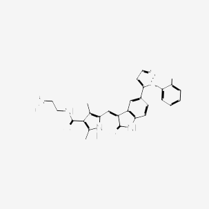 CCN(CC)CCNC(=O)c1c(C)[nH]c(/C=C2\C(=O)Nc3ccc(-c4ccnn4-c4ccccc4F)cc32)c1C